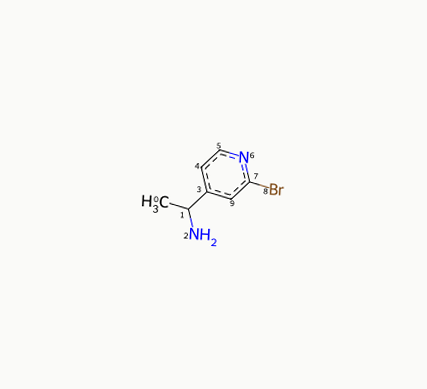 CC(N)c1ccnc(Br)c1